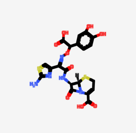 Nc1nc(/C(=N/OC(C(=O)O)c2ccc(O)c(O)c2)C(=O)N[C@@H]2C(=O)N3C(C(=O)O)=CCS[C@H]23)cs1